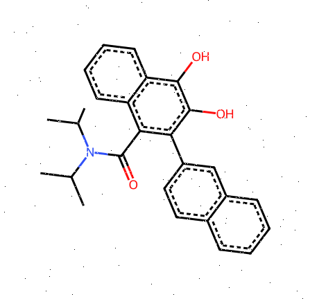 CC(C)N(C(=O)c1c(-c2ccc3ccccc3c2)c(O)c(O)c2ccccc12)C(C)C